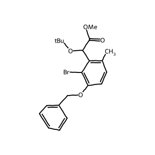 COC(=O)C(OC(C)(C)C)c1c(C)ccc(OCc2ccccc2)c1Br